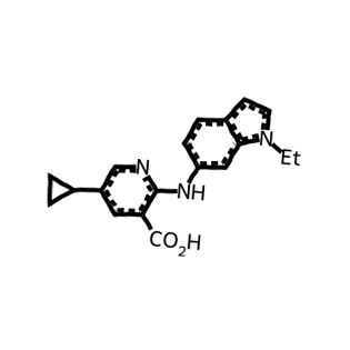 CCn1ccc2ccc(Nc3ncc(C4CC4)cc3C(=O)O)cc21